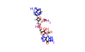 Nc1nc2c(nnn2[C@@H]2O[C@H](COPOC[C@H]3C[C@H](c4cnc5c(N)ncnn45)O[C@@H]3COP)[C@@H](O)[C@H]2OS)c(=O)[nH]1